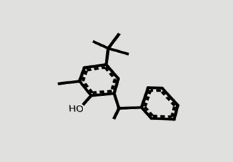 Cc1cc(C(C)(C)C)cc(C(C)c2ccccc2)c1O